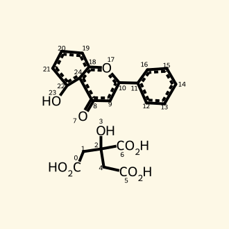 O=C(O)CC(O)(CC(=O)O)C(=O)O.O=c1cc(-c2ccccc2)oc2cccc(O)c12